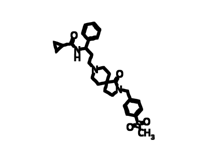 CS(=O)(=O)c1ccc(CN2CCC3(CCN(CCC(NC(=O)C4CC4)c4ccccc4)CC3)C2=O)cc1